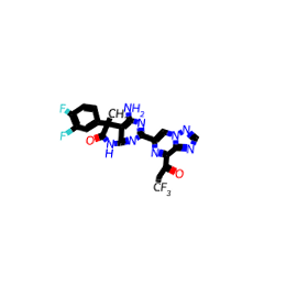 CC1(c2ccc(F)c(F)c2)C(=O)Nc2nc(-c3cn4ncnc4c(C(=O)CC(F)(F)F)n3)nc(N)c21